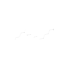 CC(C)CCC[C@@H](C)CC[SiH2]CC[C@H](C)CCCC(C)C